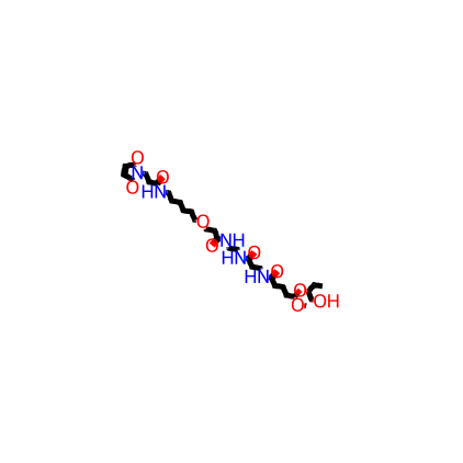 CCC(CO)OC(CCCC(=O)NCCC(=O)NCCNC(=O)CCOCCCCCCNC(=O)CCN1C(=O)C=CC1=O)OC